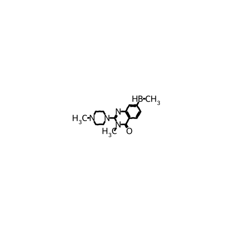 CBc1ccc2c(=O)n(C)c(N3CCN(C)CC3)nc2c1